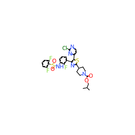 CC(C)COC(=O)N1CCC(c2nc(-c3cccc(NS(=O)(=O)c4c(F)cccc4F)c3F)c(-c3ccnc(Cl)n3)s2)CC1